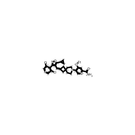 CCOc1cc(C(N)=O)ncc1N1CCC2(CC1)CC(=Cc1c(-c3c(Cl)cncc3Cl)noc1C1CC1)C2